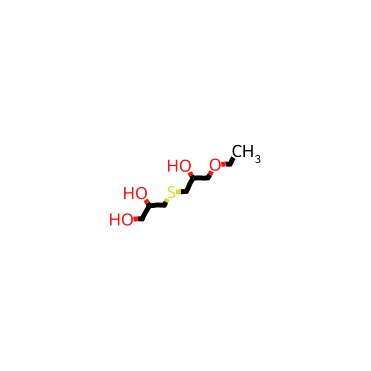 CCOCC(O)CSCC(O)CO